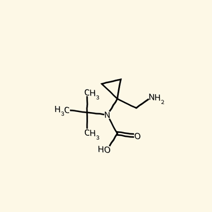 CC(C)(C)N(C(=O)O)C1(CN)CC1